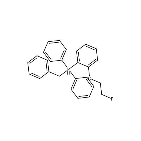 FCCOc1ccccc1[PH](Cc1ccccc1)(c1ccccc1)c1ccccc1